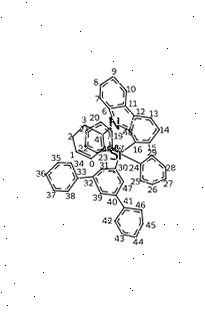 C1=CCCC(n2c3ccccc3c3cccc([Si](c4ccccc4)(c4ccccc4)c4cc(-c5ccccc5)cc(-c5ccccc5)c4)c32)=C1